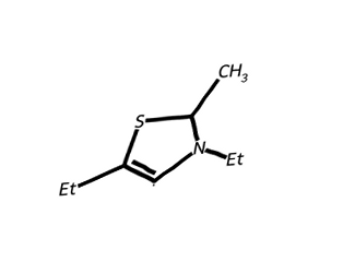 CCC1=[C]N(CC)C(C)S1